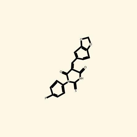 O=C1NC(=S)N(c2ccc(F)cc2)C(=O)/C1=C/c1ccc2c(c1)OCO2